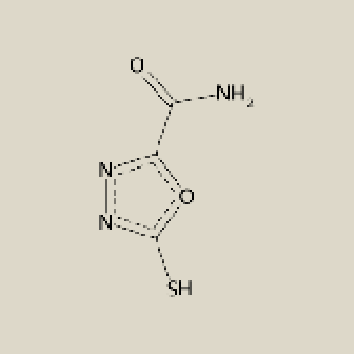 NC(=O)c1nnc(S)o1